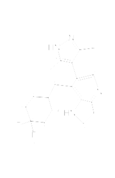 Cc1n[nH]c(C)c1-c1cnc2cc[nH]c2c1CC1CCC(F)(F)CC1